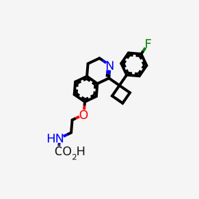 O=C(O)NCCOc1ccc2c(c1)C(C1(c3ccc(F)cc3)CCC1)=NCC2